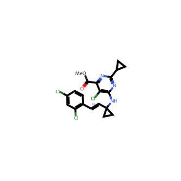 COC(=O)c1nc(C2CC2)nc(NC2(/C=C/c3ccc(Cl)cc3Cl)CC2)c1Cl